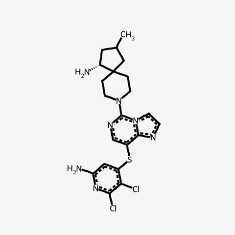 CC1C[C@@H](N)C2(CCN(c3ncc(Sc4cc(N)nc(Cl)c4Cl)c4nccn34)CC2)C1